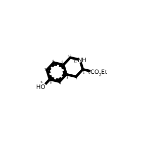 CCOC(=O)C1Cc2cc(O)ccc2CN1